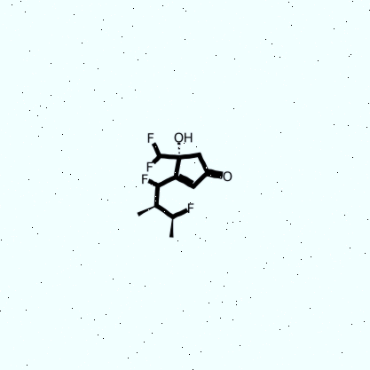 C[C@H](F)[C@@H](C)C(F)C1=CC(=O)C[C@]1(O)C(F)F